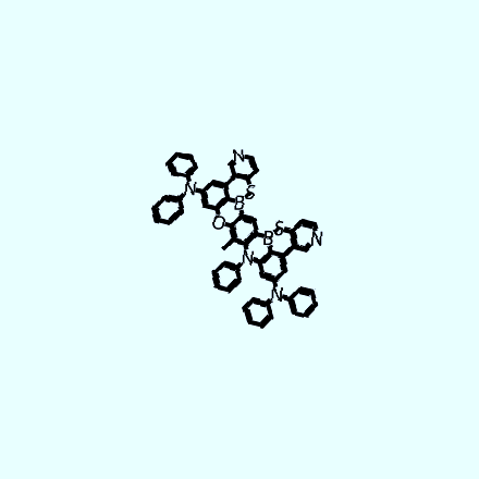 Cc1c2c(cc3c1N(c1ccccc1)c1cc(N(c4ccccc4)c4ccccc4)cc4c1B3Sc1ccncc1-4)B1Sc3ccncc3-c3cc(N(c4ccccc4)c4ccccc4)cc(c31)O2